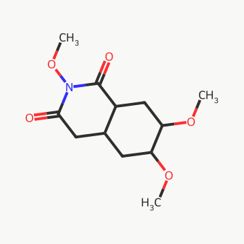 COC1CC2CC(=O)N(OC)C(=O)C2CC1OC